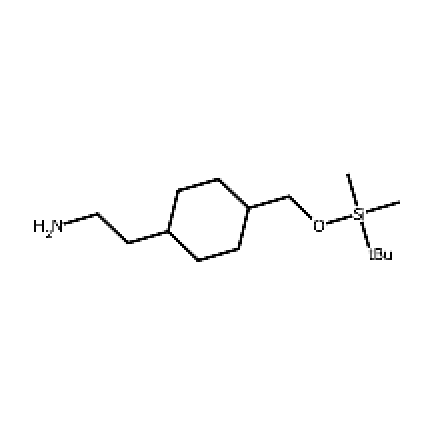 CC(C)(C)[Si](C)(C)OCC1CCC(CCN)CC1